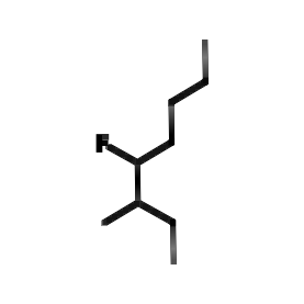 CCCCC(F)C(C)CC